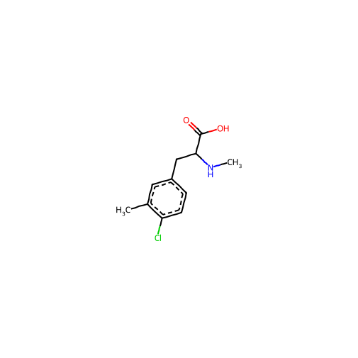 CNC(Cc1ccc(Cl)c(C)c1)C(=O)O